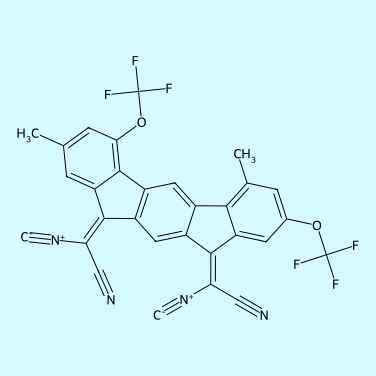 [C-]#[N+]/C(C#N)=C1/c2cc3c(cc2-c2c(OC(F)(F)F)cc(C)cc21)-c1c(C)cc(OC(F)(F)F)cc1/C3=C(\C#N)[N+]#[C-]